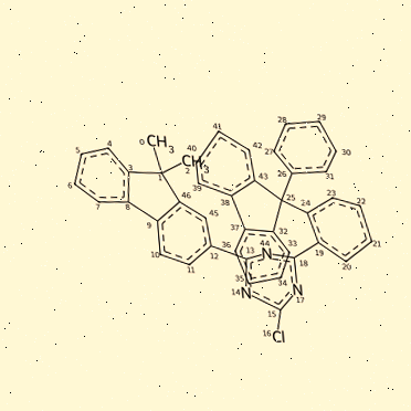 CC1(C)c2ccccc2-c2ccc(-c3nc(Cl)nc(-c4ccccc4C4(c5ccccc5)c5ccccc5-c5ccccc54)n3)cc21